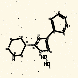 Cl.Cl.c1cncc(-c2noc([C@H]3CCCNC3)n2)c1